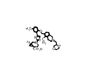 Cc1ccc(OCc2ccc3c(c2C)CCN(CC2COCCO2)C3)c(-c2csc(N3CC[C@@]4(C(=O)O)C[C@H]4C3)n2)c1